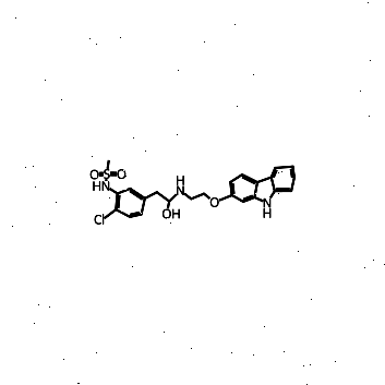 CS(=O)(=O)Nc1cc(CC(O)NCCOc2ccc3c(c2)[nH]c2ccccc23)ccc1Cl